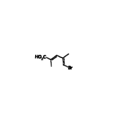 CC(=CBr)C=C(C)C(=O)O